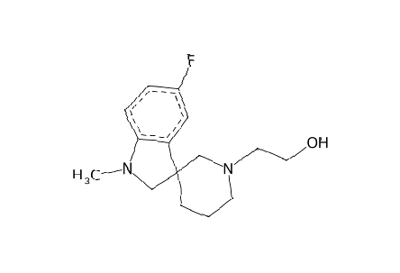 CN1CC2(CCCN(CCO)C2)c2cc(F)ccc21